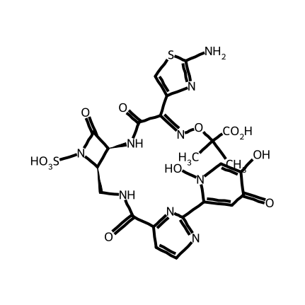 CC(C)(ON=C(C(=O)N[C@@H]1C(=O)N(S(=O)(=O)O)[C@@H]1CNC(=O)c1ccnc(-c2cc(=O)c(O)cn2O)n1)c1csc(N)n1)C(=O)O